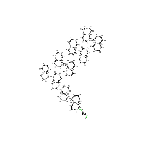 [Cl][Ru][Cl].c1ccc2c(-c3cccc4ccccc34)cccc2c1.c1ccc2c(-c3cccc4ccccc34)cccc2c1.c1ccc2c(-c3cccc4ccccc34)cccc2c1.c1ccc2c(-c3cccc4ccccc34)cccc2c1.c1ccc2c(-c3cccc4ccccc34)cccc2c1